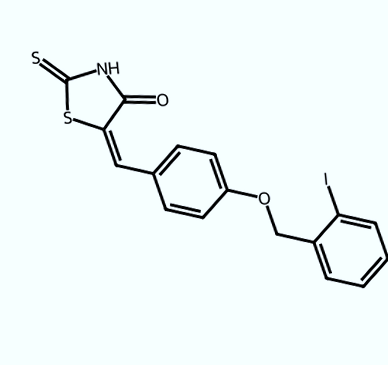 O=C1NC(=S)SC1=Cc1ccc(OCc2ccccc2I)cc1